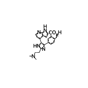 CN(C)CCc1nc(-c2ccc(F)c(C(=O)O)c2)c(-c2ccnc3[nH]ccc23)[nH]1